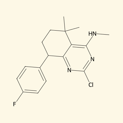 CNc1nc(Cl)nc2c1C(C)(C)CCC2c1ccc(F)cc1